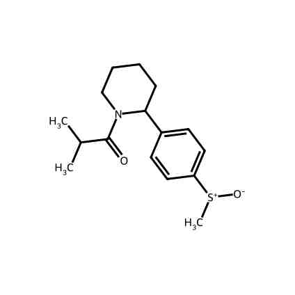 CC(C)C(=O)N1CCCCC1c1ccc([S+](C)[O-])cc1